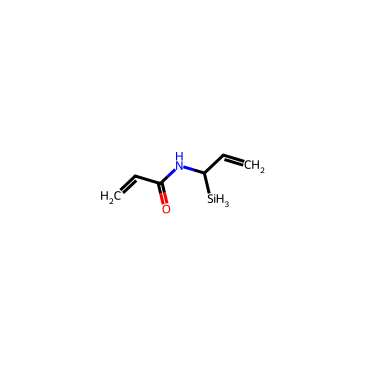 C=CC(=O)NC([SiH3])C=C